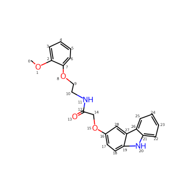 COc1ccccc1OCCNC(=O)COc1ccc2[nH]c3ccccc3c2c1